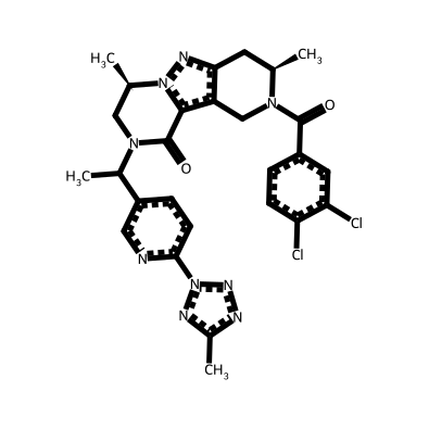 Cc1nnn(-c2ccc(C(C)N3C[C@@H](C)n4nc5c(c4C3=O)CN(C(=O)c3ccc(Cl)c(Cl)c3)[C@H](C)C5)cn2)n1